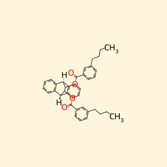 CCCCc1cccc(C(=O)OC2C(OC(=O)c3cccc(CCCC)c3)[C@H]3c4ccccc4[C@H]2c2ccccc23)c1